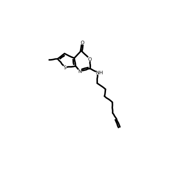 C=CCCCCCNc1nc2sc(C)cc2c(=O)o1